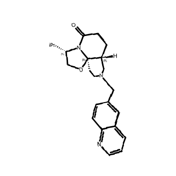 CC(C)[C@H]1CO[C@]23CCN(Cc4ccc5ncccc5c4)C[C@H]2CCC(=O)N13